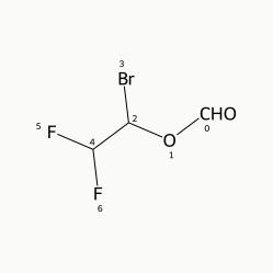 O=COC(Br)C(F)F